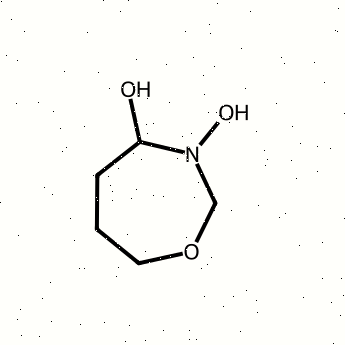 OC1CCCOCN1O